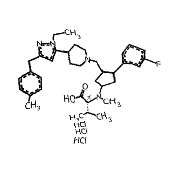 CCn1nc(Cc2ccc(C)cc2)cc1C1CCN(CC2CC(N(C)[C@@H](C(=O)O)C(C)C)CC2c2cccc(F)c2)CC1.Cl.Cl.Cl